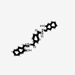 O=C(N/N=C/c1cc2ccccc2cc1O)c1ccc(C(=O)N/N=C/c2cc3ccccc3cc2O)cc1